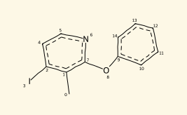 Cc1c(I)ccnc1Oc1ccccc1